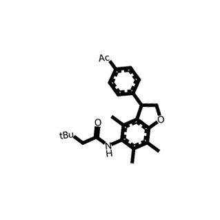 CC(=O)c1ccc(C2COc3c(C)c(C)c(NC(=O)CC(C)(C)C)c(C)c32)cc1